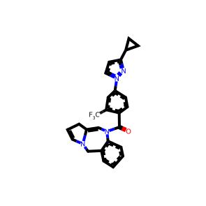 O=C(c1ccc(-n2ccc(C3CC3)n2)cc1C(F)(F)F)N1C=C2CC=CN2Cc2ccccc21